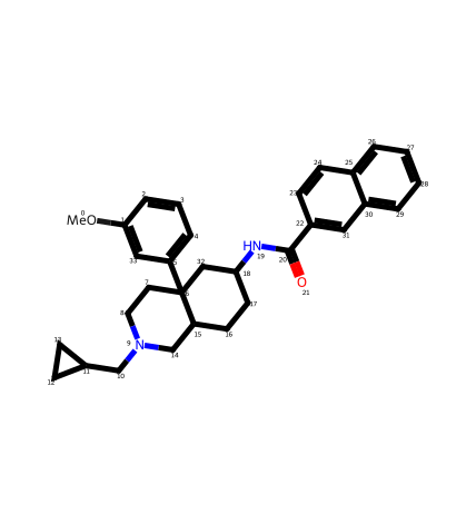 COc1cccc(C23CCN(CC4CC4)CC2CCC(NC(=O)c2ccc4ccccc4c2)C3)c1